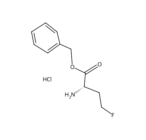 Cl.N[C@@H](CCF)C(=O)OCc1ccccc1